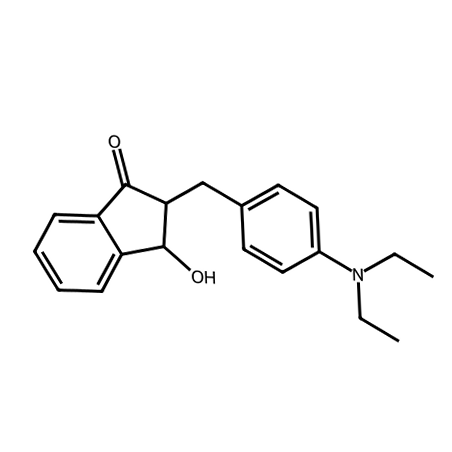 CCN(CC)c1ccc(CC2C(=O)c3ccccc3C2O)cc1